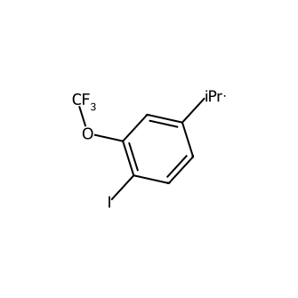 C[C](C)c1ccc(I)c(OC(F)(F)F)c1